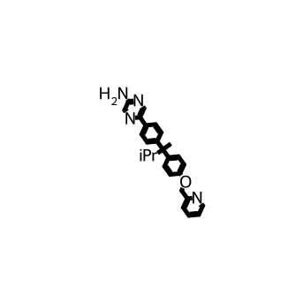 CC(C)C(C)(c1ccc(OCc2ccccn2)cc1)c1ccc(-c2cnc(N)cn2)cc1